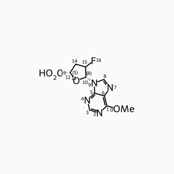 COc1ncnc2c1ncn2[C@@H]1O[C@H](C(=O)O)CC1F